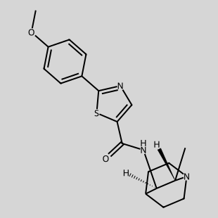 COc1ccc(-c2ncc(C(=O)N[C@@H]3C4CCN(CC4)[C@H]3C)s2)cc1